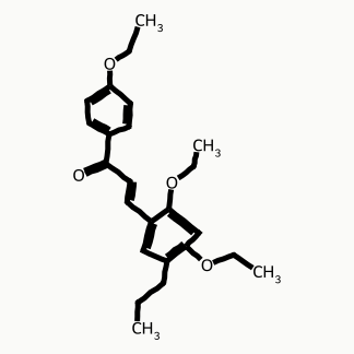 CCCc1cc(/C=C/C(=O)c2ccc(OCC)cc2)c(OCC)cc1OCC